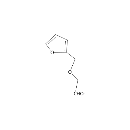 O=[C]COCc1ccco1